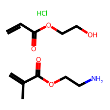 C=C(C)C(=O)OCCN.C=CC(=O)OCCO.Cl